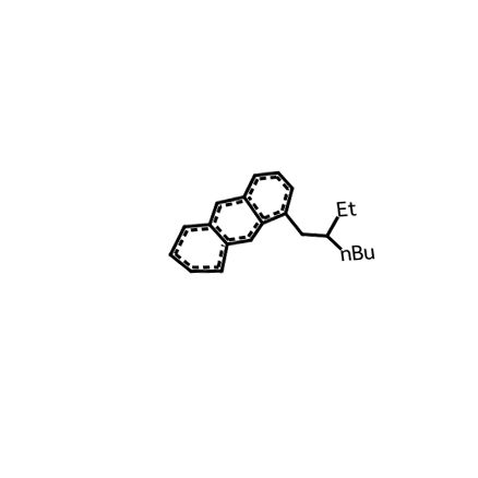 CCCCC(CC)Cc1cccc2cc3ccccc3cc12